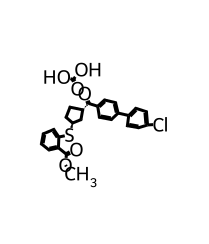 COC(=O)c1ccccc1S[C@H]1CC[C@H](C(=O)c2ccc(-c3ccc(Cl)cc3)cc2)C1.O=C(O)O